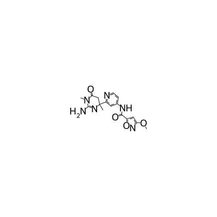 COc1cc(C(=O)Nc2ccnc(C3(C)CC(=O)N(C)C(N)=N3)c2)on1